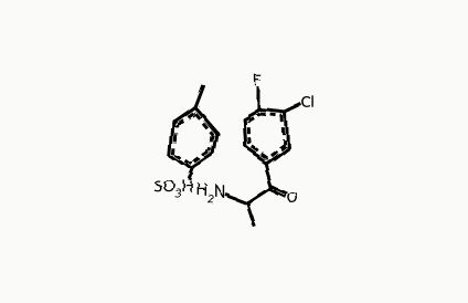 CC(N)C(=O)c1ccc(F)c(Cl)c1.Cc1ccc(S(=O)(=O)O)cc1